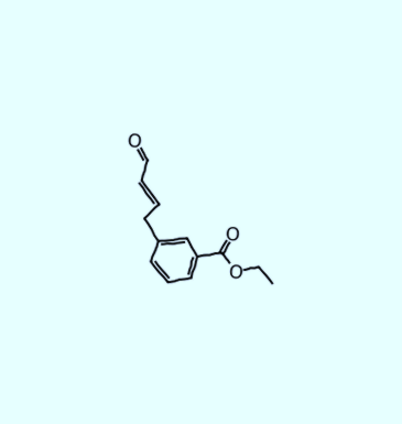 CCOC(=O)c1cccc(CC=CC=O)c1